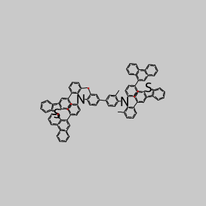 Cc1cc(-c2ccc(N(c3ccc(-c4cc5ccccc5c5ccccc45)cc3)c3c(C)cccc3-c3ccc4sc5ccccc5c4c3)c(C)c2)ccc1N(c1ccc(-c2cc3ccccc3c3ccccc23)cc1)c1c(C)cccc1-c1ccc2sc3ccccc3c2c1